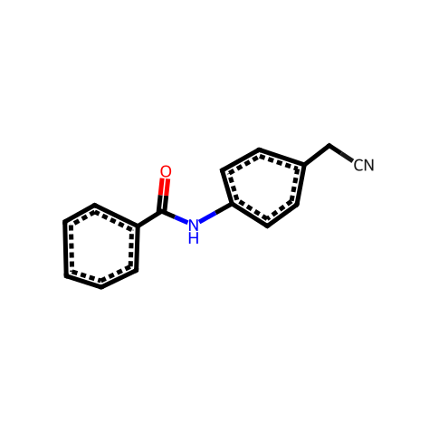 N#CCc1ccc(NC(=O)c2ccccc2)cc1